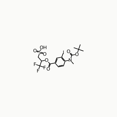 CN(C(=O)OC(C)(C)C)c1ccc(C(=O)OC(CS(=O)(=O)O)C(F)(F)F)cc1I